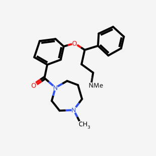 CNCCC(Oc1cccc(C(=O)N2CCCN(C)CC2)c1)c1ccccc1